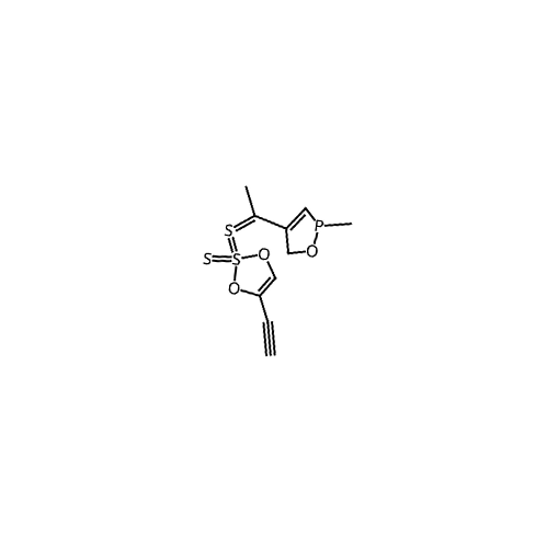 C#CC1=COS(=S)(=S=C(C)C2=CP(C)OC2)O1